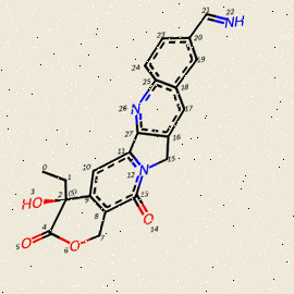 CC[C@@]1(O)C(=O)OCc2c1cc1n(c2=O)Cc2cc3cc(C=N)ccc3nc2-1